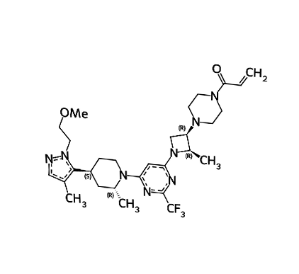 C=CC(=O)N1CCN([C@@H]2CN(c3cc(N4CC[C@H](c5c(C)cnn5CCOC)C[C@H]4C)nc(C(F)(F)F)n3)[C@@H]2C)CC1